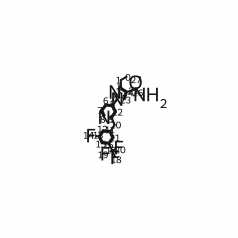 CCc1nn(-c2ccnc(Cc3cc(F)cc(C(F)(F)F)c3)c2)cc1C(N)=O